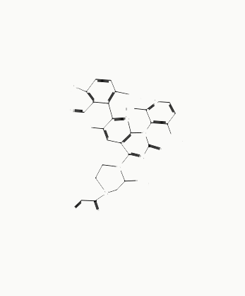 C=CC(=O)N1CCN(c2nc(=O)n(-c3c(C)ccnc3C(C)C)c3nc(-c4c(C)ccc(N)c4C=N)c(Cl)cc23)C(C)C1